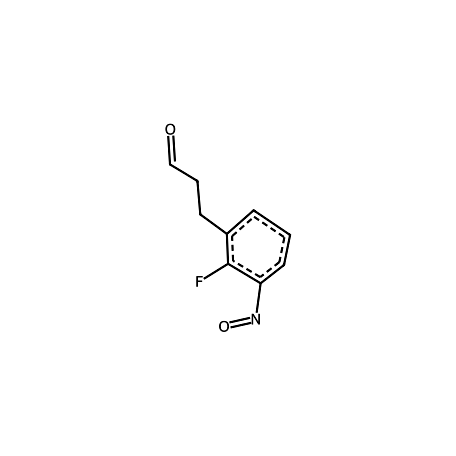 O=CCCc1cccc(N=O)c1F